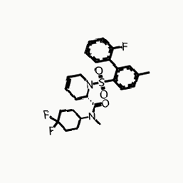 Cc1ccc(S(=O)(=O)N2CC=CC[C@H]2C(=O)N(C)C2CCC(F)(F)CC2)c(-c2ccccc2F)c1